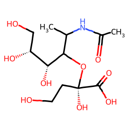 CC(=O)NC(C)C(O[C@](O)(CCO)C(=O)O)[C@H](O)[C@H](O)CO